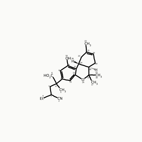 CCC(C#N)CC(C)(C(=O)O)c1cc(O)c2c(c1)OC(C)(C)[C@@H]1CC=C(C)C[C@@H]21